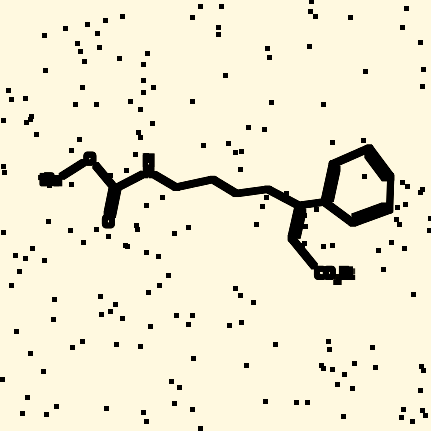 CCOC(=O)/C=C(/CCCCNC(=O)OC(C)(C)C)c1ccccc1